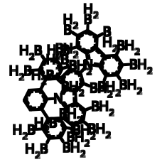 Bc1c(B)c(B)c(-c2cccc(-c3c(B)c(B)c(B)c(B)c3B)c2-n2c3c(B)c(B)c(B)c(B)c3c3c(B)c(-n4c5c(B)c(B)c(B)c(B)c5c5c(B)c(B)c(B)c(B)c54)c(B)c(B)c32)c(B)c1B